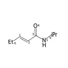 [CH2]CC=CC(=O)NC(C)C